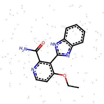 CCOc1ccnc(C(N)=O)c1-c1nc2ccccc2[nH]1